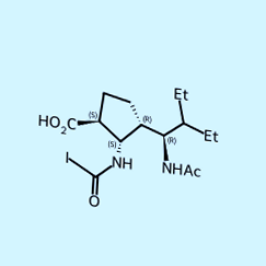 CCC(CC)[C@@H](NC(C)=O)[C@H]1CC[C@H](C(=O)O)[C@H]1NC(=O)I